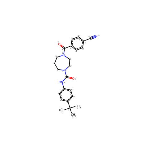 CC(C)(C)c1ccc(NC(=O)N2CCCN(C(=O)c3ccc(C#N)cc3)CC2)cc1